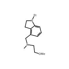 CCN1CCc2c(CN(C)CCOC)cccc21